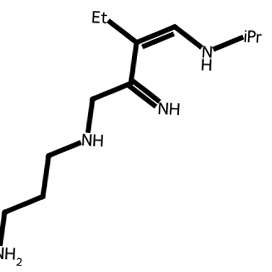 CC/C(=C/NC(C)C)C(=N)CNCCCN